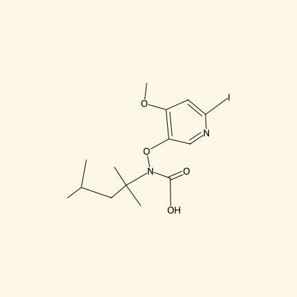 COc1cc(I)ncc1ON(C(=O)O)C(C)(C)CC(C)C